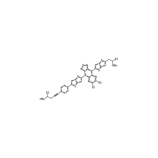 CCCCC(CC)CC#Cc1ccc(-c2cc3sc(-c4c5nsnc5c(-c5cc6sc(CC(CC)CCCC)cc6s5)c5nc(CC)c(CC)nc45)cc3s2)cc1